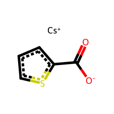 O=C([O-])c1cccs1.[Cs+]